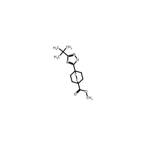 COC(=O)C12CCC(c3nc(C(C)(C)C)no3)(CC1)CC2